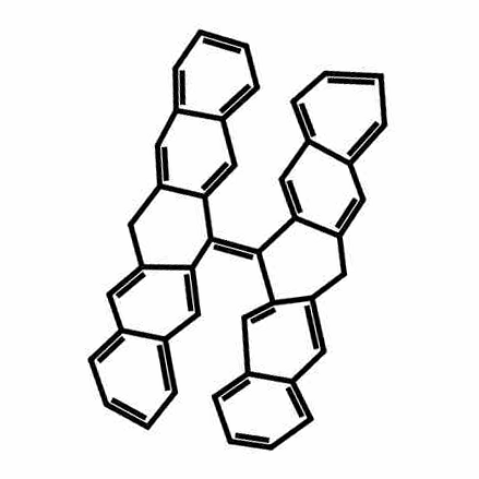 c1ccc2cc3c(cc2c1)Cc1cc2ccccc2cc1C3=C1c2cc3ccccc3cc2Cc2cc3ccccc3cc21